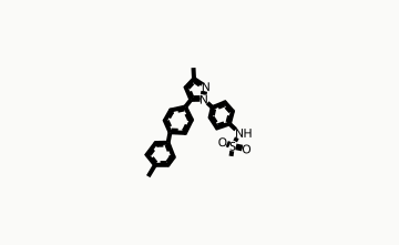 Cc1ccc(-c2ccc(-c3cc(C)nn3-c3ccc(NS(C)(=O)=O)cc3)cc2)cc1